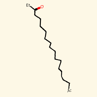 CCC(=O)CCCCCCCCCCCCCCC(C)=O